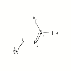 CCCP=S(I)I